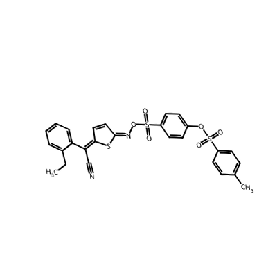 CCc1ccccc1/C(C#N)=C1C=C/C(=N\OS(=O)(=O)c2ccc(OS(=O)(=O)c3ccc(C)cc3)cc2)S\1